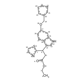 CCOC(=O)CC(c1nccs1)c1c[nH]c2cc(OCc3ccccc3)ccc12